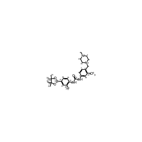 CN1CCN(Cc2ccc(NC(=O)Nc3ccc(B4OC(C)(C)C(C)(C)O4)cc3F)cc2C(F)(F)F)CC1